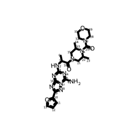 CC(Nc1nc(N)n2nc(-c3ccco3)nc2n1)C(=O)N1CC(C)N(C(=O)N2CCOCC2)C(C)C1